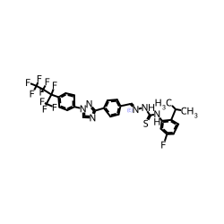 CC(C)c1ccc(F)cc1NC(=S)N/N=C/c1ccc(-c2ncn(-c3ccc(C(F)(C(F)(F)F)C(F)(F)C(F)(F)F)cc3)n2)cc1